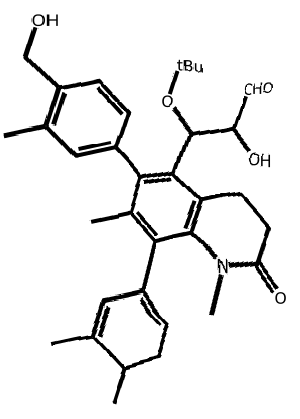 CC1=CC(c2c(C)c(-c3ccc(CO)c(C)c3)c(C(OC(C)(C)C)C(O)C=O)c3c2N(C)C(=O)CC3)=CCC1C